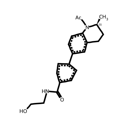 CC(=O)N1c2ccc(-c3ccc(C(=O)NCCO)cc3)cc2CC[C@@H]1C